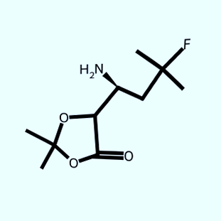 CC(C)(F)C[C@H](N)C1OC(C)(C)OC1=O